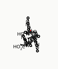 CC(C)(Cc1nn(-c2nc(N3CCN(c4ccc(OCc5ccccc5)cn4)CC3)nc3c2ncn3C(CC2CC2)C(=O)OC(C)(C)Cc2nn(-c3nc(N4CCN(c5ccc(O)cn5)CC4)nc4c3ncn4C(CC3CC3)C(=O)O)c3ccccc23)c2ccccc12)OC(=O)Cn1cnc2c(-n3ncc4ccccc43)nc(N3CCN(c4ccc(OCc5ccccc5)cn4)CC3)nc21